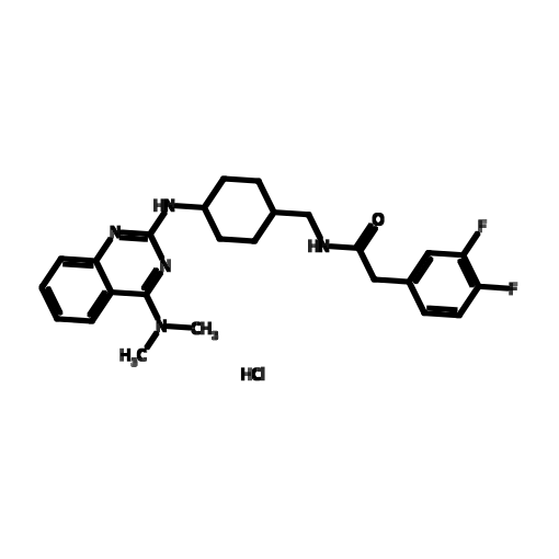 CN(C)c1nc(NC2CCC(CNC(=O)Cc3ccc(F)c(F)c3)CC2)nc2ccccc12.Cl